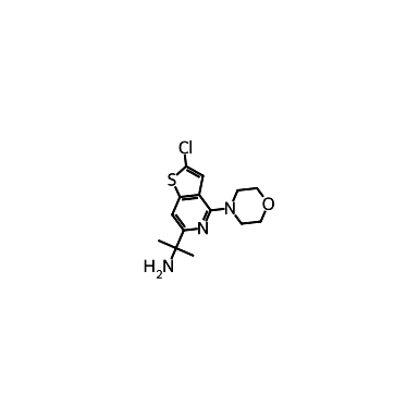 CC(C)(N)c1cc2sc(Cl)cc2c(N2CCOCC2)n1